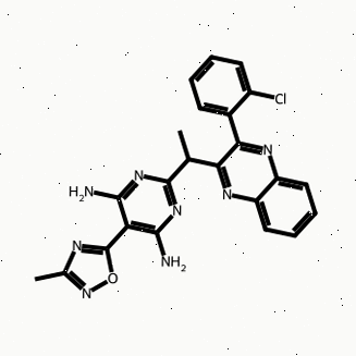 Cc1noc(-c2c(N)nc(C(C)c3nc4ccccc4nc3-c3ccccc3Cl)nc2N)n1